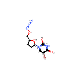 [N-]=[N+]=NOC[C@@H]1CC[C@H](n2cc(Br)c(=O)[nH]c2=O)O1